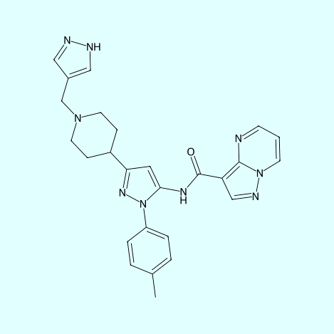 Cc1ccc(-n2nc(C3CCN(Cc4cn[nH]c4)CC3)cc2NC(=O)c2cnn3cccnc23)cc1